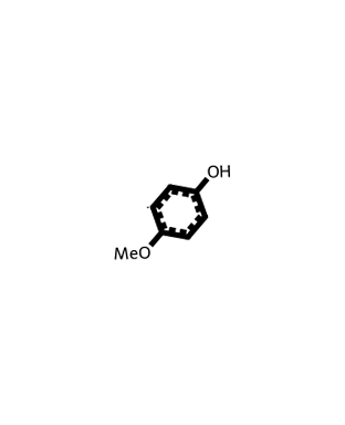 COc1[c]cc(O)cc1